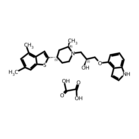 Cc1cc(C)c2cc([C@H]3CCN(C[C@H](O)COc4cccc5[nH]ccc45)[C@H](C)C3)sc2c1.O=C(O)C(=O)O